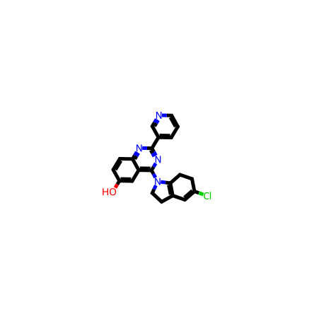 Oc1ccc2nc(-c3cccnc3)nc(N3CCC4=C3CCC(Cl)=C4)c2c1